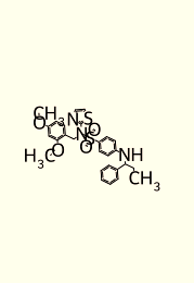 CCC(Nc1ccc(S(=O)(=O)N(Cc2ccc(OC)cc2OC)c2nccs2)cc1)c1ccccc1